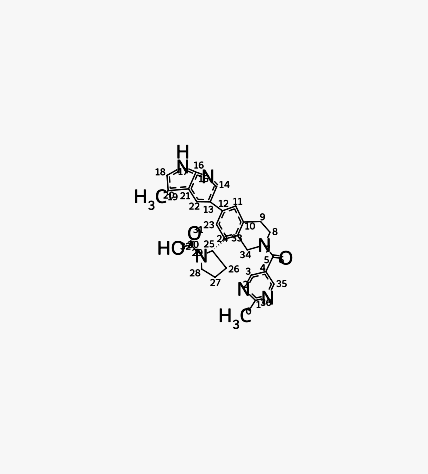 Cc1ncc(C(=O)N2CCc3cc(-c4cnc5[nH]cc(C)c5c4)cc([C@@H]4CCCN4C(=O)O)c3C2)cn1